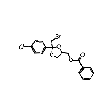 O=C(OCC1COC(CBr)(c2ccc(Cl)cc2)O1)c1ccccc1